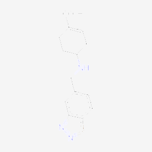 O=C(O)C1=CCC(NCc2ccc3snnc3c2)CC1